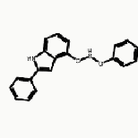 B(Oc1ccccc1)Oc1cccc2[nH]c(-c3ccccc3)cc12